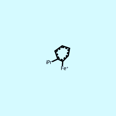 CC(C)c1cccc[c]1[Fe+]